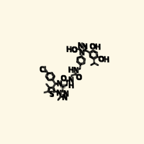 Cc1sc2c(c1C)C(c1ccc(Cl)cc1)=N[C@@H](CC(=O)NCC(=O)NCc1ccc(-n3c(O)nnc3-c3cc(C(C)C)c(O)cc3O)cc1)c1nnc(C)n1-2